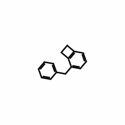 [c]1ccc(Cc2ccccc2)c2c1CC2